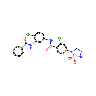 O=C(Nc1cc(NC(=O)c2ccc(N3CCNS3(=O)=O)cc2Cl)ccc1Cl)c1ccccc1